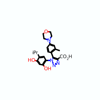 Cc1cc(N2CCOCC2)ccc1-c1c(C(=O)O)nnn1-c1cc(C(C)C)c(O)cc1O